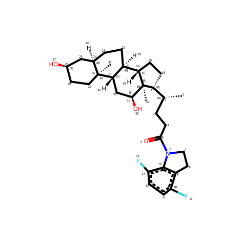 C[C@H](CCC(=O)N1CCc2c(F)ccc(F)c21)[C@H]1CC[C@H]2[C@@H]3CC[C@@H]4C[C@H](O)CC[C@]4(C)[C@H]3C[C@H](O)[C@]12C